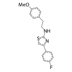 COc1ccc(CCNc2nc(-c3ccc(F)cc3)cs2)cc1